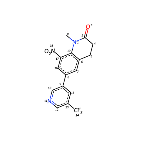 CN1C(=O)CCc2cc(-c3cncc(C(F)(F)F)c3)cc([N+](=O)[O-])c21